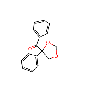 O=C(c1ccccc1)C1(c2ccccc2)COCO1